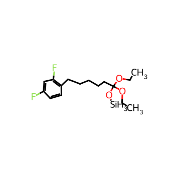 CCOC(CCCCCc1ccc(F)cc1F)(O[SiH3])OCC